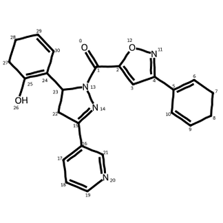 O=C(c1cc(C2=CCCC=C2)no1)N1N=C(c2cccnc2)CC1C1=C(O)CCC=C1